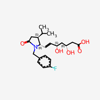 CC(C)[C@@H]1CC(=O)N(Cc2ccc(F)cc2)[C@H]1C=C[C@@H](O)C[C@@H](O)CC(=O)O